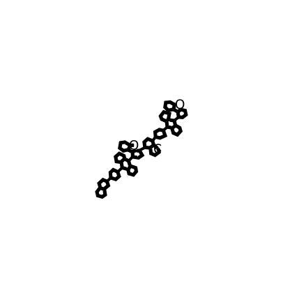 c1ccc2cc(-c3ccc(-c4c5ccccc5c(-c5ccc(-c6ccc(-c7ccc(-c8c9ccccc9c(-c9cccc%10oc%11ccccc%11c9%10)c9ccccc89)cc7)c7ccccc67)c6oc7ccccc7c56)c5ccccc45)cc3)ccc2c1